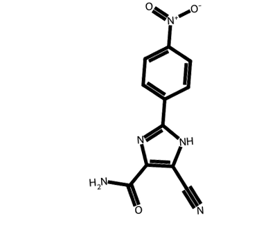 N#Cc1[nH]c(-c2ccc([N+](=O)[O-])cc2)nc1C(N)=O